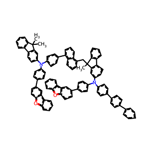 CC1(C)c2ccccc2-c2ccc(N(c3ccc(-c4ccc5oc6ccccc6c5c4)cc3)c3ccc(-c4cccc5c(CC6(C)c7ccccc7-c7ccc(N(c8ccc(-c9ccc(-c%10ccccc%10)cc9)cc8)c8ccc(-c9ccc%10oc%11ccccc%11c%10c9)cc8)cc76)cccc45)cc3)cc21